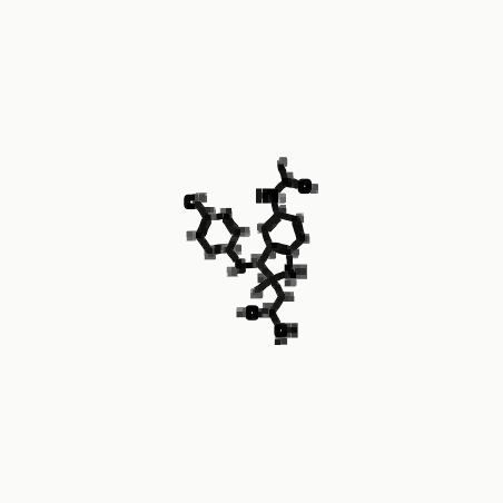 CC(=O)Nc1ccc2c(c1)C(Sc1ccc(Cl)cc1)C(C)(CC(=O)O)N2